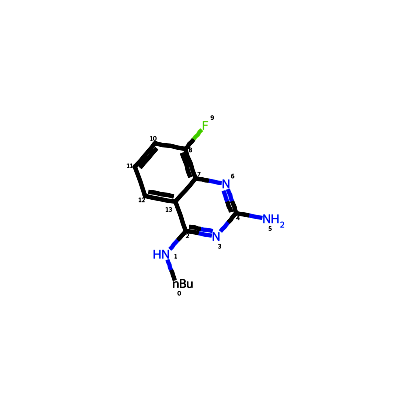 CCCCNc1nc(N)nc2c(F)cccc12